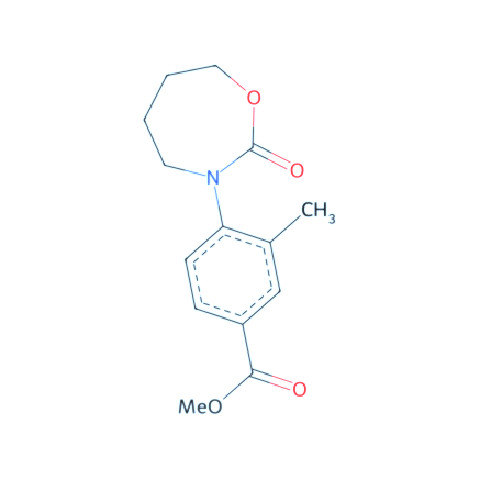 COC(=O)c1ccc(N2CCCCOC2=O)c(C)c1